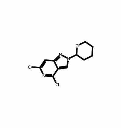 Clc1cc2nn(C3CCCCO3)cc2c(Cl)n1